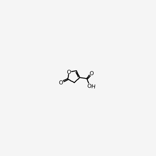 O=C1CC(C(=O)O)=CO1